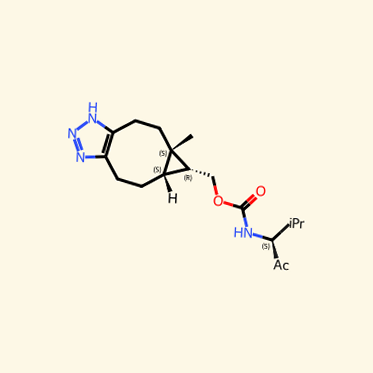 CC(=O)[C@@H](NC(=O)OC[C@@H]1[C@@H]2CCc3nn[nH]c3CC[C@]12C)C(C)C